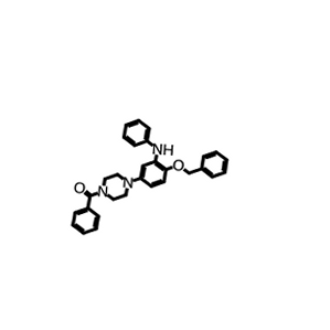 O=C(c1ccccc1)N1CCN(c2ccc(OCc3ccccc3)c(Nc3ccccc3)c2)CC1